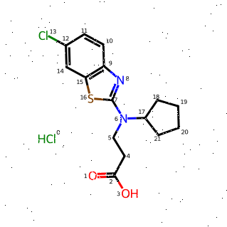 Cl.O=C(O)CCN(c1nc2ccc(Cl)cc2s1)C1CCCC1